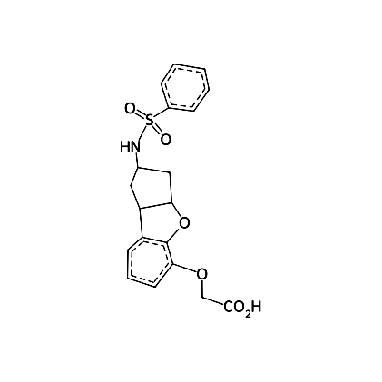 O=C(O)COc1cccc2c1OC1CC(NS(=O)(=O)c3ccccc3)CC21